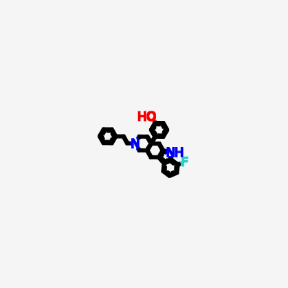 Oc1cccc(C23CCN(CCc4ccccc4)CC2Cc2c([nH]c4c(F)cccc24)C3)c1